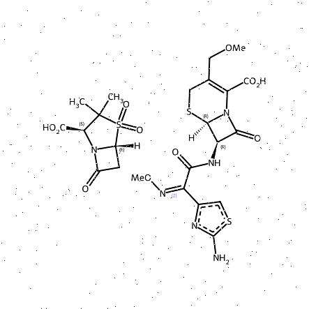 CC1(C)[C@H](C(=O)O)N2C(=O)C[C@H]2S1(=O)=O.COCC1=C(C(=O)O)N2C(=O)[C@@H](NC(=O)/C(=N\OC)c3csc(N)n3)[C@H]2SC1